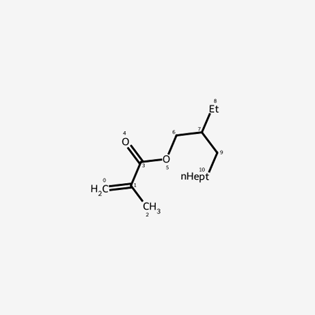 C=C(C)C(=O)OCC(CC)CCCCCCCC